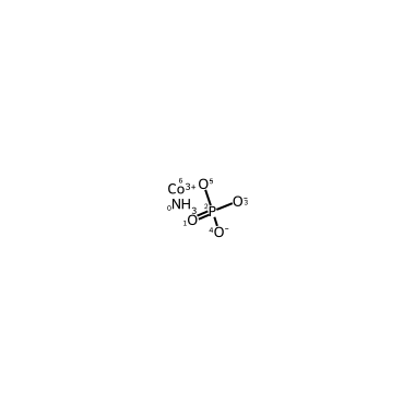 N.O=P([O-])([O-])[O-].[Co+3]